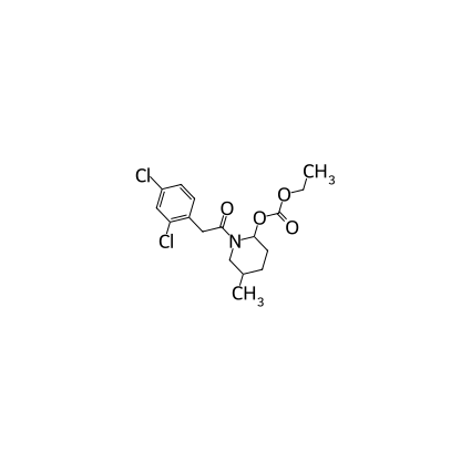 CCOC(=O)OC1CCC(C)CN1C(=O)Cc1ccc(Cl)cc1Cl